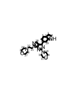 c1cc2ccc(-c3nc(N4CCOCC4)nc4c3cnn4CCN3CCOCC3)cc2[nH]1